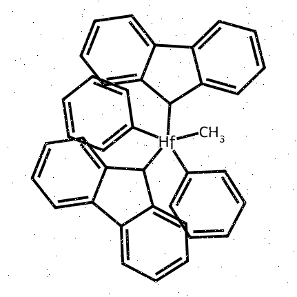 [CH3][Hf]([c]1ccccc1)([c]1ccccc1)([CH]1c2ccccc2-c2ccccc21)[CH]1c2ccccc2-c2ccccc21